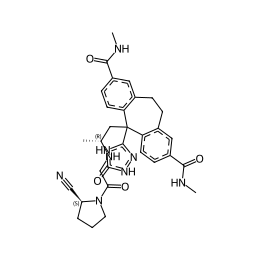 CNC(=O)c1ccc2c(c1)CCc1cc(C(=O)NC)ccc1C2(C[C@@H](C)NCC(=O)N1CCC[C@H]1C#N)c1n[nH]c(=O)[nH]1